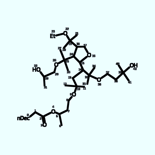 CCCCCCCCCCCC(=O)OC(C)CCOC(C)(C)CC(C1OCC(C(C)(C)OCC)C1C(C)(C)OCC(C)O)C(C)(C)OCCC(C)(C)O